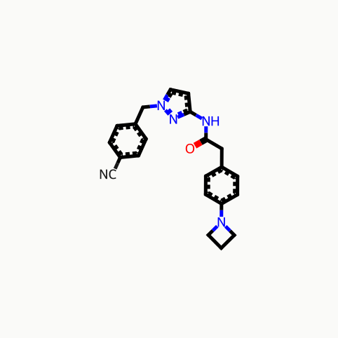 N#Cc1ccc(Cn2ccc(NC(=O)Cc3ccc(N4CCC4)cc3)n2)cc1